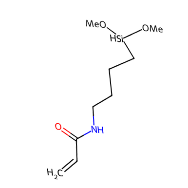 C=CC(=O)NCCCC[SiH](OC)OC